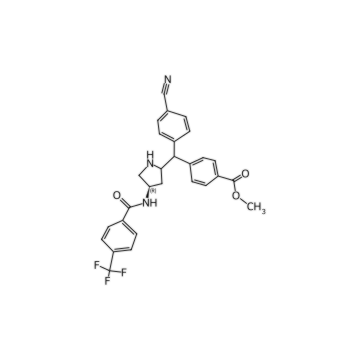 COC(=O)c1ccc(C(c2ccc(C#N)cc2)C2C[C@@H](NC(=O)c3ccc(C(F)(F)F)cc3)CN2)cc1